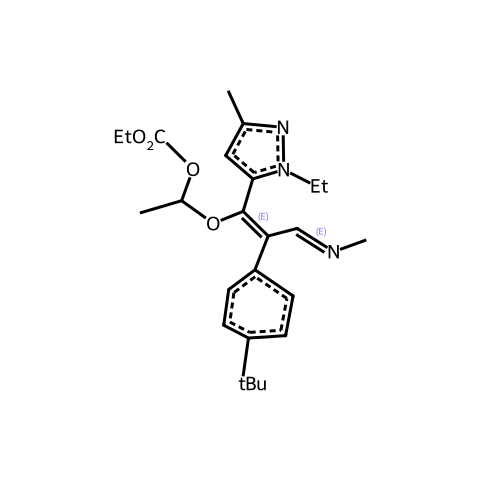 CCOC(=O)OC(C)O/C(=C(/C=N/C)c1ccc(C(C)(C)C)cc1)c1cc(C)nn1CC